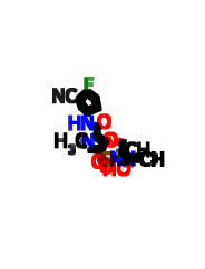 C#C[C@@H](O)[C@@]1(C)COc2c(cn(C)c2C(=O)Nc2ccc(F)c(C#N)c2)S(=O)(=O)N1